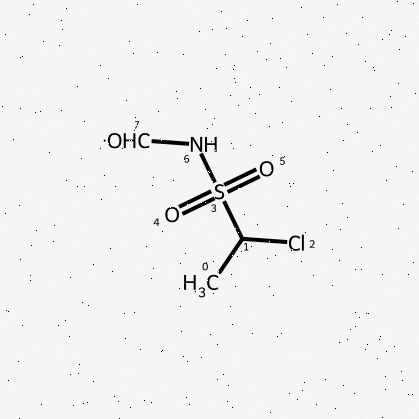 CC(Cl)S(=O)(=O)N[C]=O